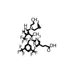 CCCN(CC1CC1)c1[nH]nc(C(F)(F)F)c1C(C)N(Cc1cc(C(F)(F)F)cc(C(F)(F)F)c1)c1ncc(CCC(=O)O)cn1